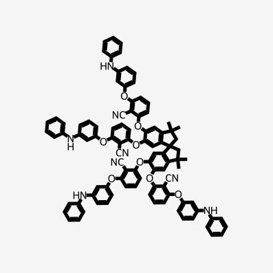 CC1(C)CC2(CC(C)(C)c3cc(Oc4cccc(Oc5cccc(Nc6ccccc6)c5)c4C#N)c(Oc4cccc(Oc5cccc(Nc6ccccc6)c5)c4C#N)cc32)c2cc(Oc3cccc(Oc4cccc(Nc5ccccc5)c4)c3C#N)c(Oc3cccc(Oc4cccc(Nc5ccccc5)c4)c3C#N)cc21